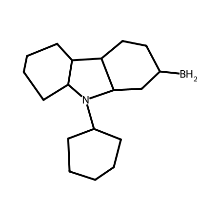 BC1CCC2C3CCCCC3N(C3CCCCC3)C2C1